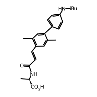 CCC(C)Nc1ccc(-c2cc(C)c(/C=C/C(=O)N[C@H](C)C(=O)O)cc2C)cc1